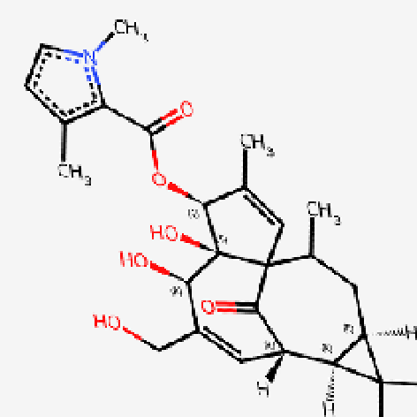 CC1=CC23C(=O)[C@@H](C=C(CO)[C@@H](O)[C@]2(O)[C@H]1OC(=O)c1c(C)ccn1C)[C@H]1[C@@H](CC3C)C1(C)C